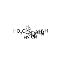 Cn1c(OC(=O)[C@@H](N)Cc2c[nH]cn2)nc(C[C@H](N)C(=O)O)c1S